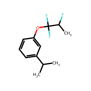 CC(C)c1cccc(OC(F)(F)C(C)F)c1